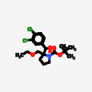 CCOCC1(C(O)c2ccc(Cl)c(Cl)c2)CCCN1C(=O)OC(C)(C)C